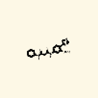 COc1cc(NC(=O)CC(=O)Nc2ccccc2)ccc1-c1cnco1